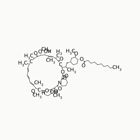 CCCCCCCCCC(=O)O[C@@H]1CC[C@@H](C[C@@H](C)[C@@H]2CC(=O)[C@H](C)/C=C(\C)[C@@H](O)[C@@H](OC)C(=O)[C@H](C)C[C@H](C)/C=C/C=C/C=C(\C)[C@@H](OC)C[C@@H]3CC[C@@H](C)[C@@](O)(O3)C(=O)C(=O)N3CCCC[C@H]3C(=O)O2)C[C@H]1OC